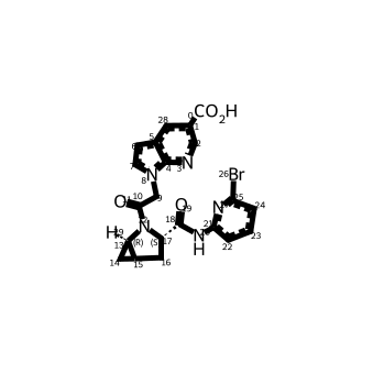 O=C(O)c1cnc2c(ccn2CC(=O)N2[C@@H]3CC3C[C@H]2C(=O)Nc2cccc(Br)n2)c1